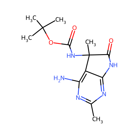 Cc1nc(N)c2c(n1)NC(=O)C2(C)NC(=O)OC(C)(C)C